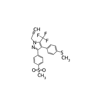 C#CCn1nc(-c2ccc(S(C)(=O)=O)cc2)c(-c2ccc(SC)cc2)c1C(F)(F)F